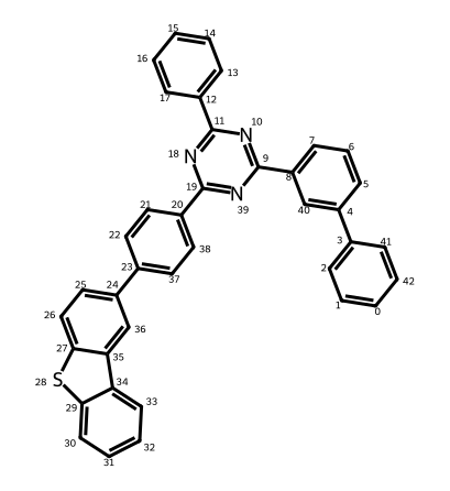 c1ccc(-c2cccc(-c3nc(-c4ccccc4)nc(-c4ccc(-c5ccc6sc7ccccc7c6c5)cc4)n3)c2)cc1